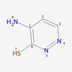 Nc1ccnnc1S